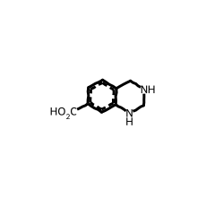 O=C(O)c1ccc2c(c1)NCNC2